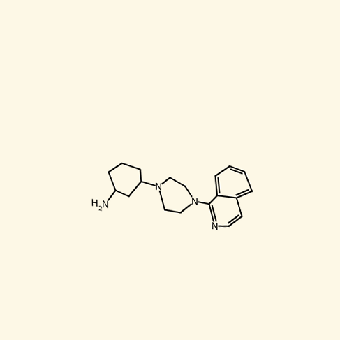 NC1CCCC(N2CCN(c3nccc4ccccc34)CC2)C1